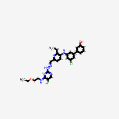 CCOCCNc1nc(N/N=C/c2ccc(Nc3cc(Cl)cc(-c4cccc(O)c4)c3)c(CC)n2)ncc1F